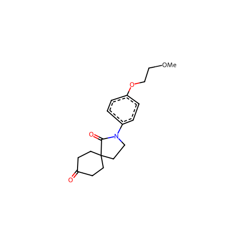 COCCOc1ccc(N2CCC3(CCC(=O)CC3)C2=O)cc1